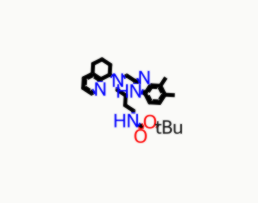 Cc1ccc2[nH]c(CN(CCCCNC(=O)OC(C)(C)C)C3CCCc4cccnc43)nc2c1C